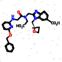 O=C(O)CN(Cc1nc2ccc(C(=O)O)cc2n1C[C@@H]1CCO1)C(=O)CNc1cccc(OCc2ccccc2)n1